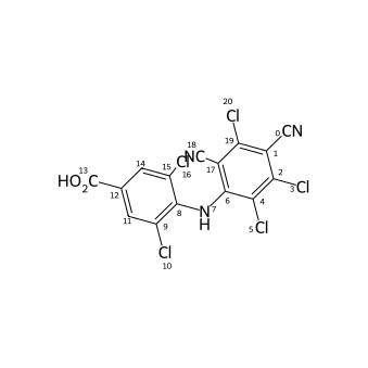 N#Cc1c(Cl)c(Cl)c(Nc2c(Cl)cc(C(=O)O)cc2Cl)c(C#N)c1Cl